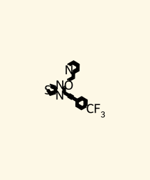 FC(F)(F)c1ccc(C#Cc2nc3cscc3nc2OCCc2ccccn2)cc1